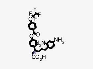 Nc1ccc(CCC/C(=C\C(=O)O)c2ccc(OC(=O)c3ccc(OC(F)(F)C(F)F)cc3)cc2)c(N)c1